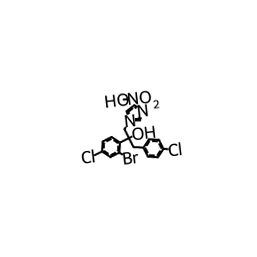 O=[N+]([O-])O.OC(Cc1ccc(Cl)cc1)(Cn1ccnc1)c1ccc(Cl)cc1Br